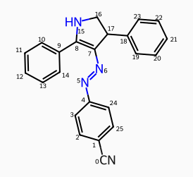 N#Cc1ccc(N=NC2=C(c3ccccc3)NCC2c2ccccc2)cc1